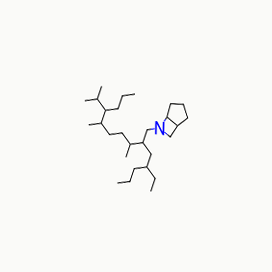 CCCC(CC)CC(CN1CC2CCCC21)C(C)CCC(C)C(CCC)C(C)C